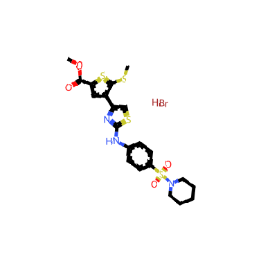 Br.COC(=O)c1cc(-c2csc(Nc3ccc(S(=O)(=O)N4CCCCC4)cc3)n2)c(SC)s1